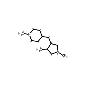 CC1CN(C)CC1CC1CCN(C)CC1